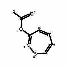 CC(=O)OC1=NSC=CC=C1